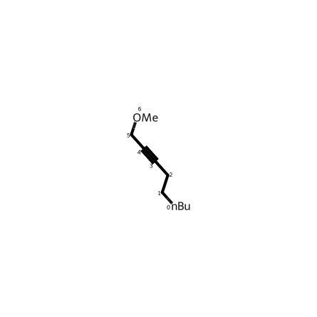 [CH2]CCCCCC#CCOC